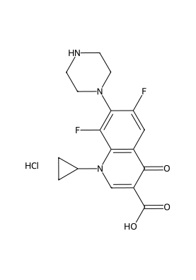 Cl.O=C(O)c1cn(C2CC2)c2c(F)c(N3CCNCC3)c(F)cc2c1=O